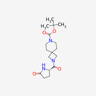 CC(C)(C)OC(=O)N1CCC2(CC1)CN(C(=O)[C@H]1CCC(=O)N1)C2